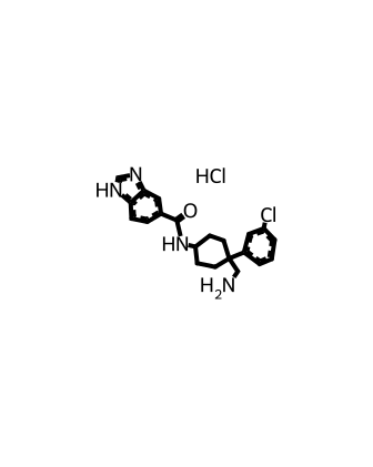 Cl.NCC1(c2cccc(Cl)c2)CCC(NC(=O)c2ccc3[nH]cnc3c2)CC1